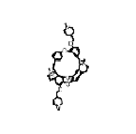 CN1CCC(COc2ccc3cc2Oc2ccc(cc2)C[C@H]2c4c(cc(OCC5CCN(C)CC5)c5c4Oc4cc6c(cc4O5)CCN(C)[C@H]6C3)CCN2C)CC1